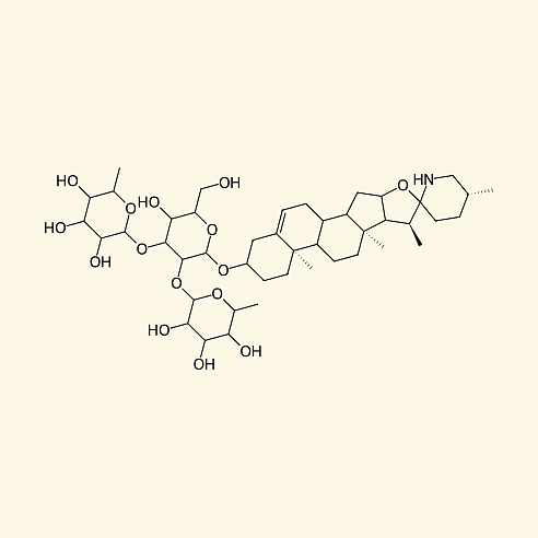 CC1OC(OC2C(OC3CC[C@@]4(C)C(=CCC5C6CC7OC8(CC[C@@H](C)CN8)[C@@H](C)C7[C@@]6(C)CCC54)C3)OC(CO)C(O)C2OC2OC(C)C(O)C(O)C2O)C(O)C(O)C1O